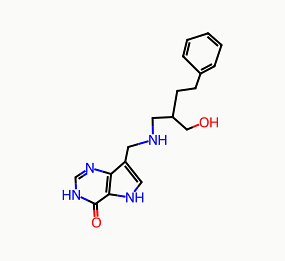 O=c1[nH]cnc2c(CNCC(CO)CCc3ccccc3)c[nH]c12